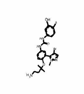 Cn1ncc(Br)c1-c1cc(NC(=O)Nc2ccc(F)c(O)c2)ccc1OC(C)(C)CCN